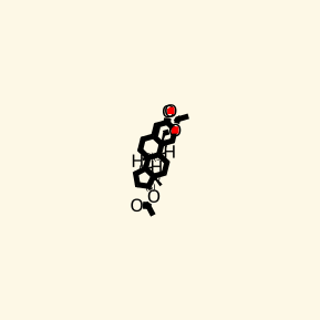 CC(=O)OC[C@]12CCC(=O)C=C1CC[C@@H]1[C@@H]2CC[C@]2(C)[C@@H](OC(C)=O)CC[C@@H]12